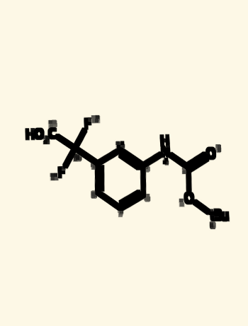 CC(C)(C)OC(=O)Nc1cccc(C(F)(F)C(=O)O)c1